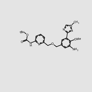 COc1c(N)cc(COCc2cccc(NC(=O)OC(C)(C)C)n2)cc1-c1ncn(C)n1